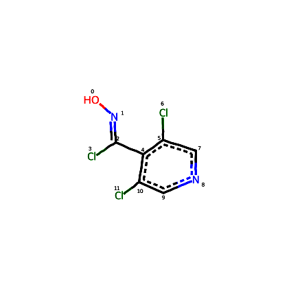 ON=C(Cl)c1c(Cl)cncc1Cl